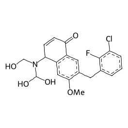 COc1cc2c(cc1Cc1cccc(Cl)c1F)C(=O)C=CC2N(CO)C(O)O